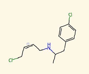 CC(Cc1ccc(Cl)cc1)NC/C=C\CCl